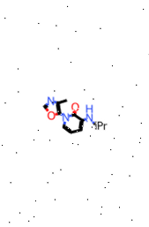 Cc1ncoc1-n1cccc(NC(C)C)c1=O